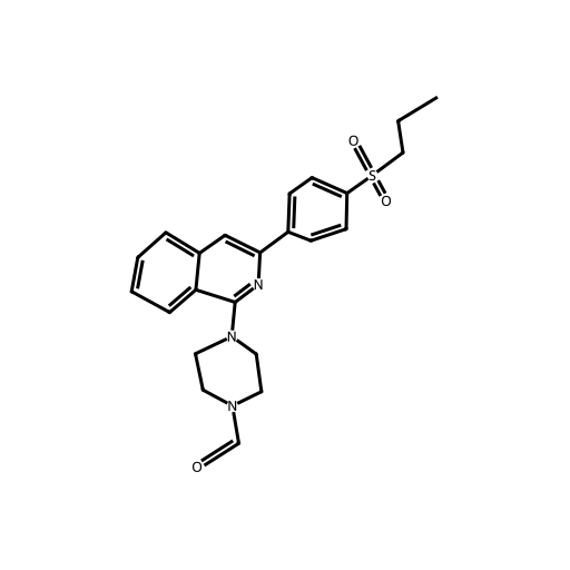 CCCS(=O)(=O)c1ccc(-c2cc3ccccc3c(N3CCN(C=O)CC3)n2)cc1